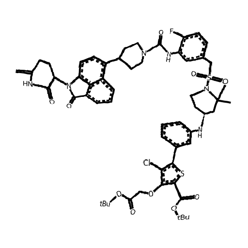 C=C1CCC(N2C(=O)c3cccc4c(C5CCN(C(=O)Nc6cc(CS(=O)(=O)N7CC[C@H](Nc8cccc(-c9sc(C(=O)OC(C)(C)C)c(OCC(=O)OC(C)(C)C)c9Cl)c8)CC7(C)C)ccc6F)CC5)ccc2c34)C(=O)N1